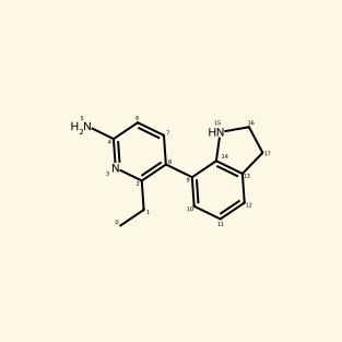 CCc1nc(N)ccc1-c1cccc2c1NCC2